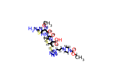 CCOC(=O)N1CCN(CCCn2nnnc2SCC2=C(C(=O)O)N3C(=O)C(NC(=O)/C(=N/OC)c4csc(N)n4)[C@H]3SC2)CC1